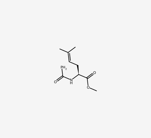 COC(=O)[C@H](CC=C(C)C)NC(=O)P